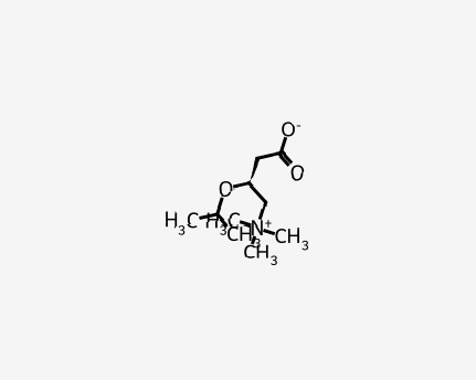 CC(C)O[C@@H](CC(=O)[O-])C[N+](C)(C)C